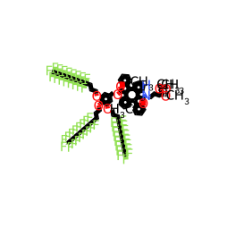 CO[Si](CCCNC(=O)C1c2ccccc2C(c2ccccc2C)C(C(=O)OCc2cc(OCCCC(F)(F)C(F)(F)C(F)(F)C(F)(F)C(F)(F)C(F)(F)C(F)(F)C(F)(F)F)c(OCCCC(F)(F)C(F)(F)C(F)(F)C(F)(F)C(F)(F)C(F)(F)C(F)(F)C(F)(F)F)c(OCCCC(F)(F)C(F)(F)C(F)(F)C(F)(F)C(F)(F)C(F)(F)C(F)(F)C(F)(F)F)c2)c2ccccc2C1c1ccccc1C)(OC)OC